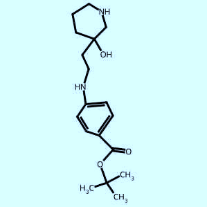 CC(C)(C)OC(=O)c1ccc(NCCC2(O)CCCNC2)cc1